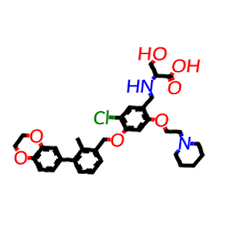 Cc1c(COc2cc(OCCN3CCCCC3)c(CNC(CO)C(=O)O)cc2Cl)cccc1-c1ccc2c(c1)OCCO2